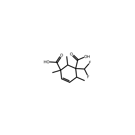 CC1C=CC(C)(C(=O)O)C(C)C1(C(=O)O)C(F)F